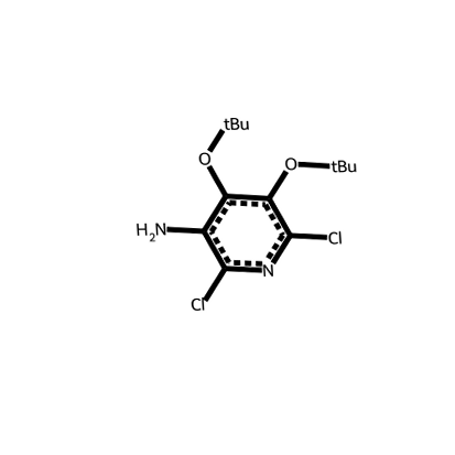 CC(C)(C)Oc1c(Cl)nc(Cl)c(N)c1OC(C)(C)C